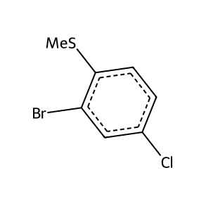 CSc1ccc(Cl)cc1Br